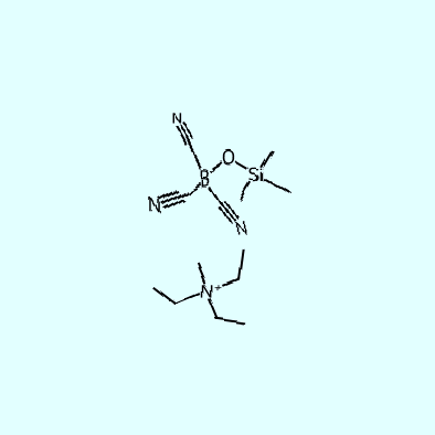 CC[N+](C)(CC)CC.C[Si](C)(C)O[B-](C#N)(C#N)C#N